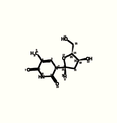 [3H][C@]1(n2cc(C)c(=O)[nH]c2=O)C[C@H](O)[C@@H](CO)O1